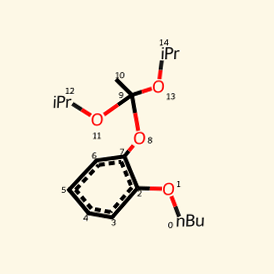 CCCCOc1ccccc1OC(C)(OC(C)C)OC(C)C